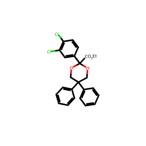 CCOC(=O)C1(c2ccc(Cl)c(Cl)c2)OCC(c2ccccc2)(c2ccccc2)CO1